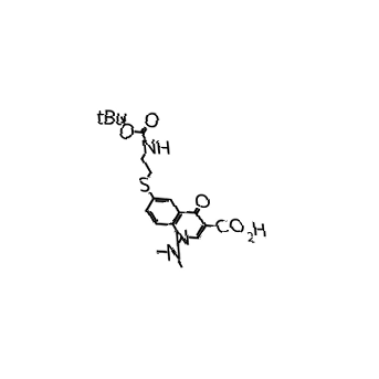 CN(C)n1cc(C(=O)O)c(=O)c2cc(SCCNC(=O)OC(C)(C)C)ccc21